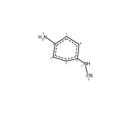 N#CNc1ccc(N)cc1